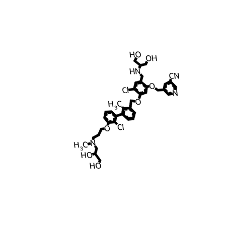 Cc1c(COc2cc(OCc3cncc(C#N)c3)c(CNC(CO)CO)cc2Cl)cccc1-c1cccc(OCCCN(C)CC(O)CO)c1Cl